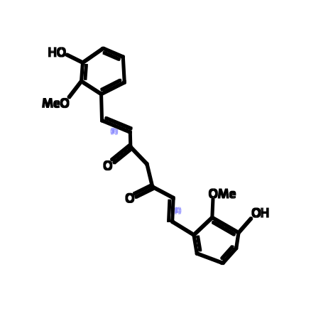 COc1c(O)cccc1/C=C/C(=O)CC(=O)/C=C/c1cccc(O)c1OC